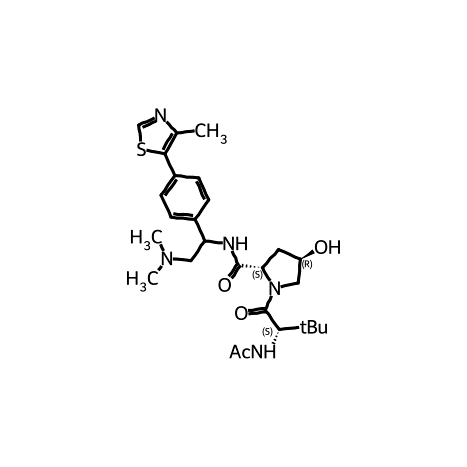 CC(=O)N[C@H](C(=O)N1C[C@H](O)C[C@H]1C(=O)NC(CN(C)C)c1ccc(-c2scnc2C)cc1)C(C)(C)C